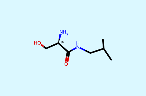 CC(C)CNC(=O)[C@H](N)CO